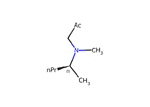 CCC[C@H](C)N(C)CC(C)=O